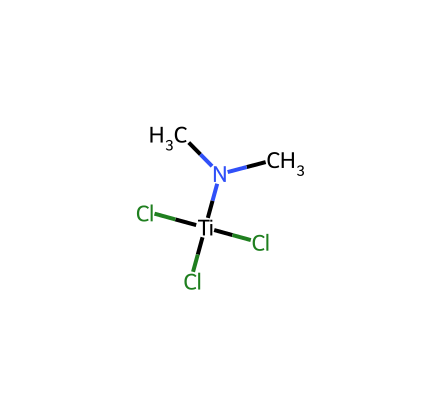 C[N](C)[Ti]([Cl])([Cl])[Cl]